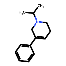 CC(C)N1CCC=C(c2ccccc2)C1